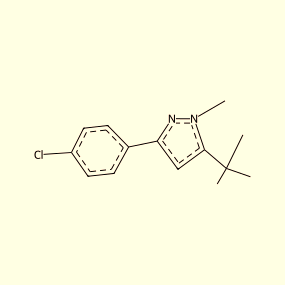 Cn1nc(-c2ccc(Cl)cc2)cc1C(C)(C)C